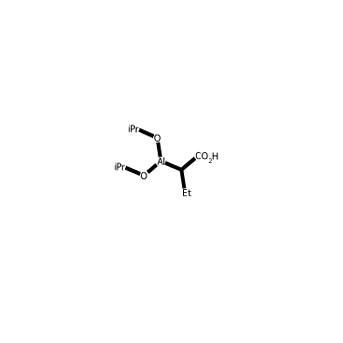 CC[CH](C(=O)O)[Al]([O]C(C)C)[O]C(C)C